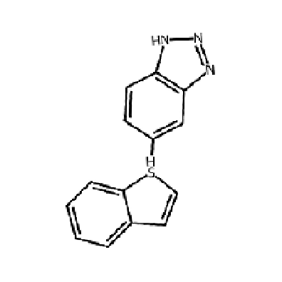 C1=C[SH](c2ccc3[nH]nnc3c2)c2ccccc21